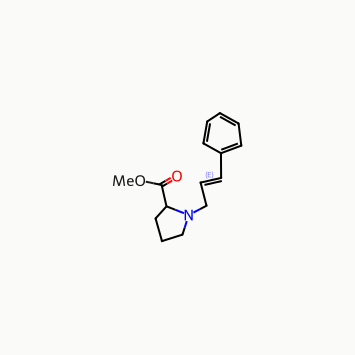 COC(=O)C1CCCN1C/C=C/c1ccccc1